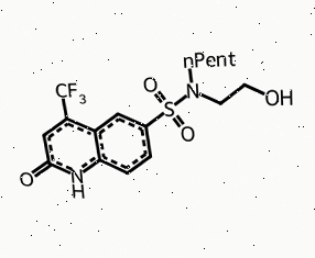 CCCCCN(CCO)S(=O)(=O)c1ccc2[nH]c(=O)cc(C(F)(F)F)c2c1